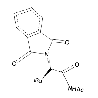 CC[C@H](C)[C@@H](C(=O)NC(C)=O)N1C(=O)c2ccccc2C1=O